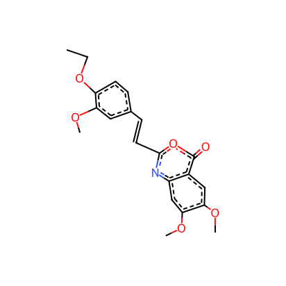 CCOc1ccc(C=Cc2nc3cc(OC)c(OC)cc3c(=O)o2)cc1OC